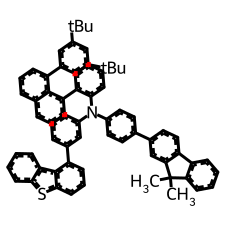 CC(C)(C)c1cc(-c2cccc3cccc(-c4ccccc4N(c4ccc(-c5ccc6c(c5)C(C)(C)c5ccccc5-6)cc4)c4cccc(-c5cccc6sc7ccccc7c56)c4)c23)cc(C(C)(C)C)c1